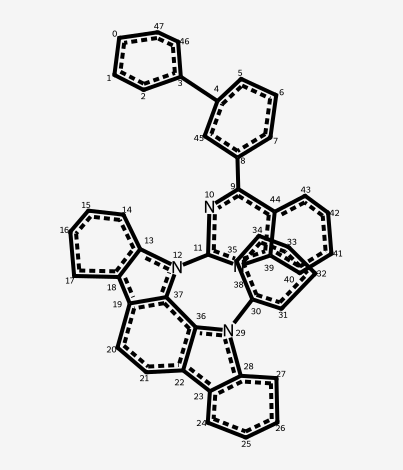 c1ccc(-c2cccc(-c3nc(-n4c5ccccc5c5ccc6c7ccccc7n(-c7ccccc7)c6c54)nc4ccccc34)c2)cc1